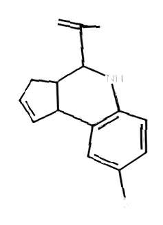 O=C(O)C1Nc2ccc(Br)cc2C2C=CCC12